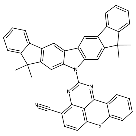 CC1(C)c2ccccc2-c2cc3c4cc5c(cc4n(-c4nc6c7c(ccc(C#N)c7n4)Sc4ccccc4-6)c3cc21)C(C)(C)c1ccccc1-5